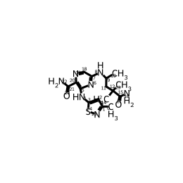 Cc1cc(Nc2nc(NC(C)CC(C)(C)C(N)=O)cnc2C(N)=O)sn1